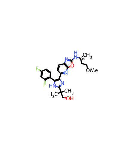 COCC[C@@H](C)Nc1nc2ccc(-c3nc(C(C)(C)CO)[nH]c3-c3ccc(F)cc3F)nc2o1